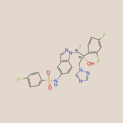 C[C@@H](n1ncc2cc(NS(=O)(=O)c3ccc(F)cc3)ccc21)[C@](O)(Cn1cncn1)c1ccc(F)cc1F